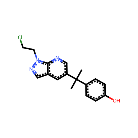 CC(C)(c1ccc(O)cc1)c1cnc2c(cnn2CCCl)c1